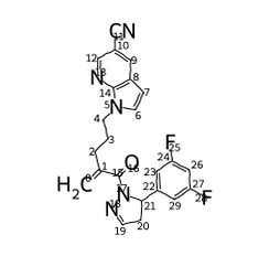 C=C(CCCn1ccc2cc(C#N)cnc21)C(=O)N1N=CCC1c1cc(F)cc(F)c1